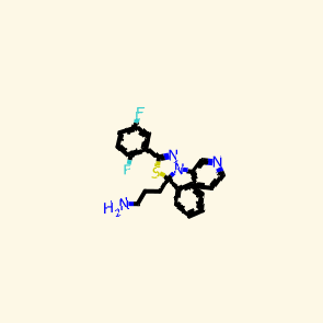 NCCCC1(c2ccccc2)SC(c2cc(F)ccc2F)=NN1c1cccnc1